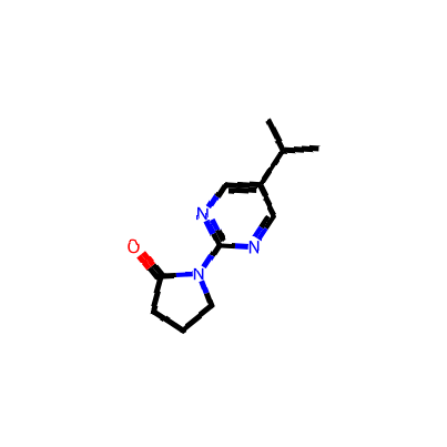 CC(C)c1cnc(N2CCCC2=O)nc1